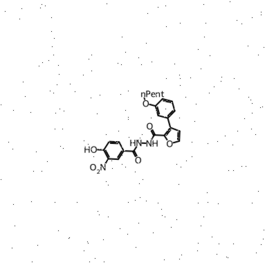 CCCCCOc1cccc(-c2ccoc2C(=O)NNC(=O)c2ccc(O)c([N+](=O)[O-])c2)c1